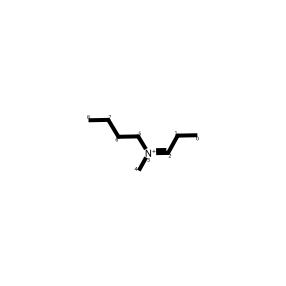 CC/C=[N+](/C)CCCC